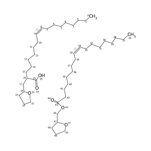 CCCCCCCC/C=C\CCCCCCC(CC1CCCO1)C(=O)O.CCCCCCCC/C=C\CCCCCCCC(=O)OCC1CCCO1